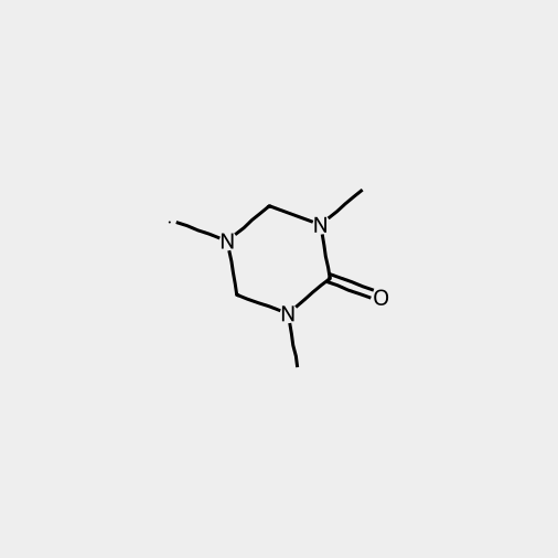 [CH2]N1CN(C)C(=O)N(C)C1